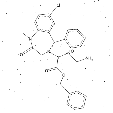 CN1C(=O)CN(N(C(=O)CN)C(=O)OCc2ccccc2)C(c2ccccc2)c2cc(Cl)ccc21